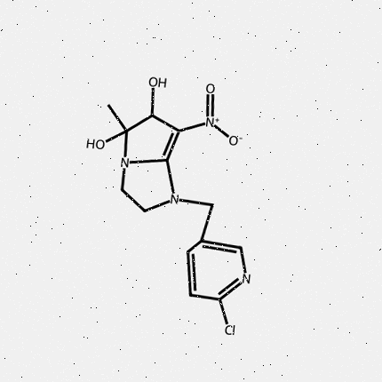 CC1(O)C(O)C([N+](=O)[O-])=C2N(Cc3ccc(Cl)nc3)CCN21